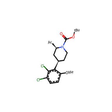 COc1ccc(Cl)c(Cl)c1[C@@H]1CCN(C(=O)OC(C)(C)C)[C@H](C(C)=O)C1